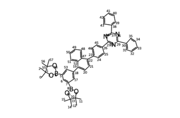 CC1(C)OB(c2cc(B3OC(C)(C)C(C)(C)O3)cc(-c3ccc(-c4ccc(-c5nc(-c6ccccc6)nc(-c6ccccc6)n5)cc4)c4ccccc34)c2)OC1(C)C